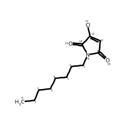 CCCCCCCCN1C(=O)C=C(Cl)C1=O